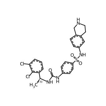 C[C@H](NC(=O)Nc1ccc(S(=O)(=O)Nc2ccc3c(c2)CCNC3)cc1)c1cccc(Cl)c1Cl